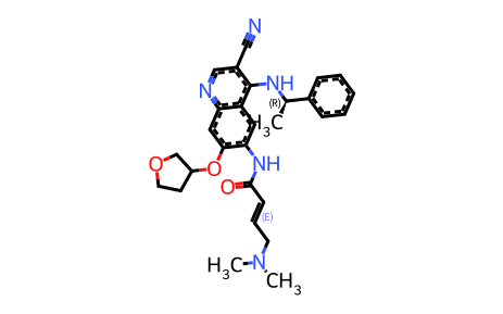 C[C@@H](Nc1c(C#N)cnc2cc(OC3CCOC3)c(NC(=O)/C=C/CN(C)C)cc12)c1ccccc1